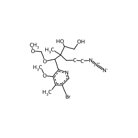 COCOC(c1ncc(Br)c(C)c1OC)C(C)(CCCN=[N+]=[N-])C(O)CO